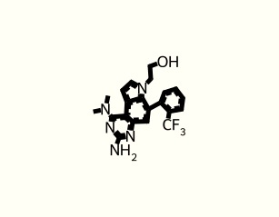 CN(C)c1nc(N)nc2cc(-c3ccccc3C(F)(F)F)c3c(ccn3CCO)c12